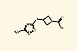 Nc1nnc(OC2CN(C(=O)O)C2)s1